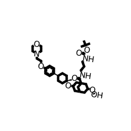 CC(C)(C)OC(=O)NCCCNC(=O)C12CC(CC(OO)C1)CC(O[C@]1(C)CC[C@@H](c3ccc(OCCN4CCOCC4)cc3)CC1)C2